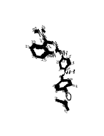 CC(C)Oc1ccc(CNC2CCC(Nc3nc(N(C)C)c4ccccc4n3)CC2)cc1